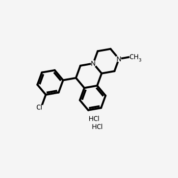 CN1CCN2CC(c3cccc(Cl)c3)c3ccccc3C2C1.Cl.Cl